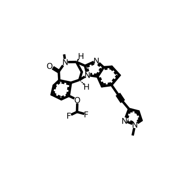 CN1C(=O)c2cccc(OC(F)F)c2[C@H]2C[C@@H]1c1nc3ccc(C#Cc4ccn(C)n4)cc3n12